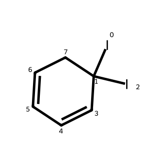 IC1(I)C=CC=CC1